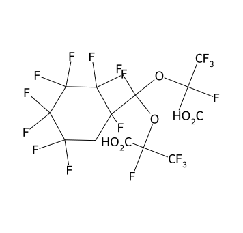 O=C(O)C(F)(OC(F)(OC(F)(C(=O)O)C(F)(F)F)C1(F)CC(F)(F)C(F)(F)C(F)(F)C1(F)F)C(F)(F)F